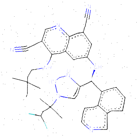 CC(C)(C)CNc1c(C#N)cnc2c(C#N)cc(N[C@H](C3=CN(C(C)(C)C(F)F)NN3)c3cccc4cnccc34)cc12